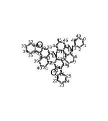 c1ccc(-n2c3ccccc3c3c(N(c4ccc5c(c4)oc4ccccc45)c4cc5oc6ccccc6c5c5ccccc45)cccc32)cc1